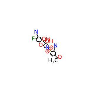 CC(=O)c1ccc(S(=O)(=O)N2CC(Oc3ccc(C#N)c(F)c3)[C@](O)(CO)C2)c(C#N)c1